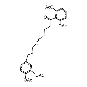 CC(=O)Oc1ccc(CCCCCCCCC(=O)c2c(OC(C)=O)cccc2OC(C)=O)cc1OC(C)=O